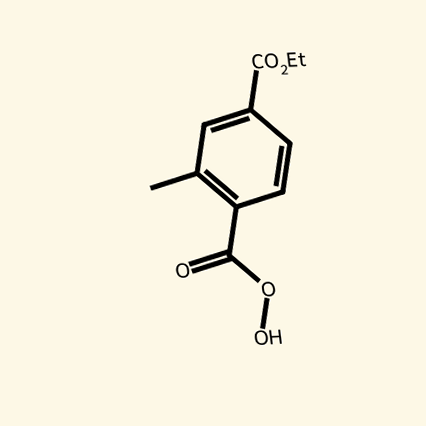 CCOC(=O)c1ccc(C(=O)OO)c(C)c1